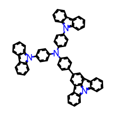 c1ccc2c(c1)c1ccccc1n2-c1ccc(N(c2ccc(-c3cc4c5ccccc5n5c6ccccc6c(c3)c45)cc2)c2ccc(-n3c4ccccc4c4ccccc43)cc2)cc1